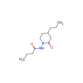 CCCC(=O)NN1CCC(CCC)CC1=O